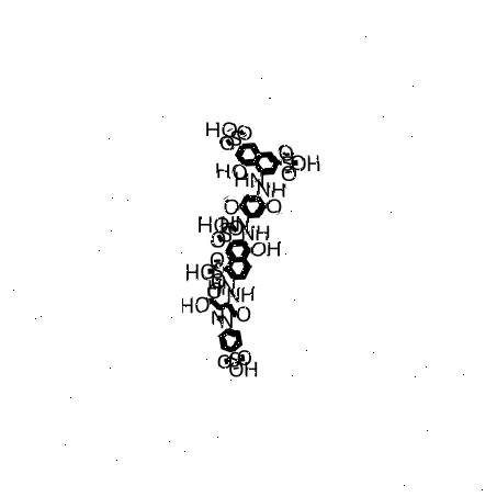 COc1cc(NNc2cc(S(=O)(=O)O)cc3cc(S(=O)(=O)O)cc(O)c23)c(OC)cc1NNc1c(S(=O)(=O)O)cc2c(S(=O)(=O)O)c(NNC3C(=O)N(c4ccc(S(=O)(=O)O)cc4)N=C3C(=O)O)ccc2c1O